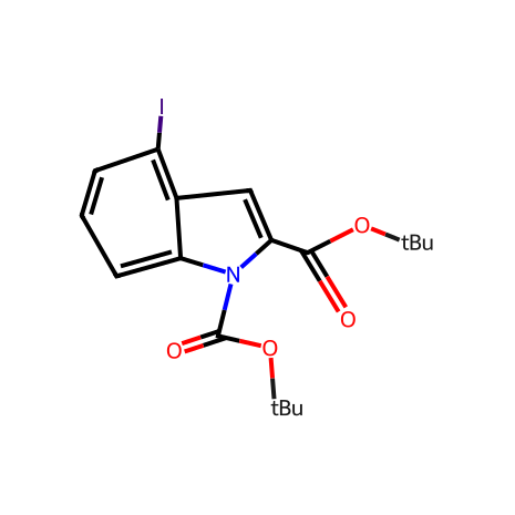 CC(C)(C)OC(=O)c1cc2c(I)cccc2n1C(=O)OC(C)(C)C